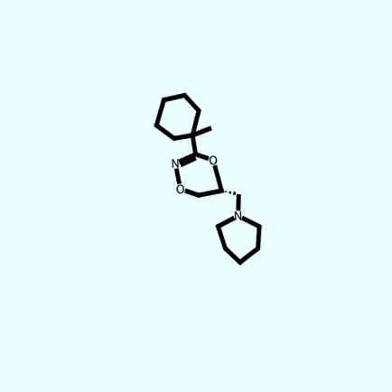 CC1(C2=NOC[C@@H](CN3CCCCC3)O2)CCCCC1